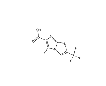 Cc1c(C(=O)O)nc2sc(C(F)(F)F)cn12